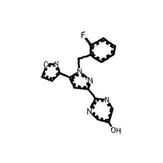 Oc1cnc(-c2cc(-c3ccon3)n(Cc3ccccc3F)n2)nc1